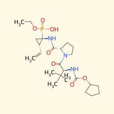 C=C[C@@H]1C[C@]1(NC(=O)[C@@H]1CCCN1C(=O)[C@@H](NC(=O)OC1CCCC1)C(C)(C)C)P(=O)(O)OCC